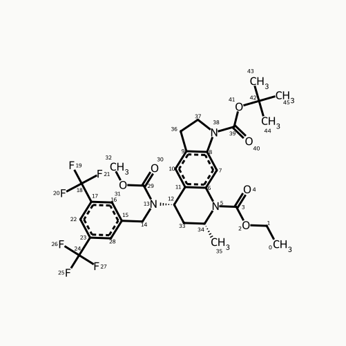 CCOC(=O)N1c2cc3c(cc2[C@@H](N(Cc2cc(C(F)(F)F)cc(C(F)(F)F)c2)C(=O)OC)C[C@H]1C)CCN3C(=O)OC(C)(C)C